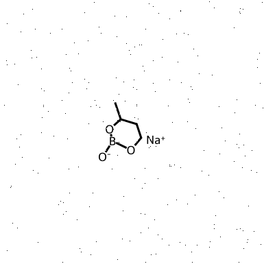 CC1CCOB([O-])O1.[Na+]